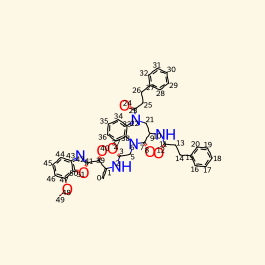 C=C(NC(=O)CN1C(=O)C(NC(=O)CCc2ccccc2)CN(C(=O)CCc2ccccc2)c2ccccc21)C(=O)c1nc2cccc(OC)c2o1